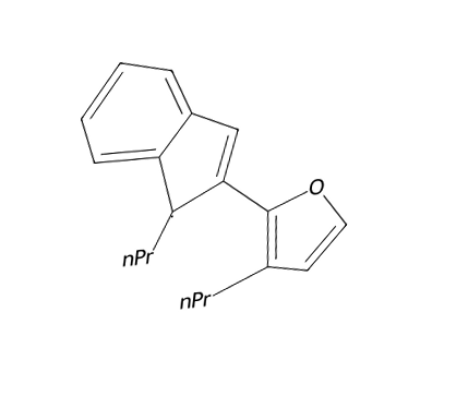 CCC[C]1C(c2occc2CCC)=Cc2ccccc21